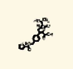 C[C@@H](O)[C@H]1C(=O)N2C(C(=O)O)=C(c3ccc(CNC(=O)c4cccs4)cc3)C[C@H]12